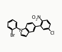 O=[N+]([O-])c1ccc(Cl)cc1-c1ccc2c(ccn2-c2ccccc2Br)c1